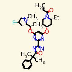 C=CC(=O)N1CC[C@H](Oc2cc(O[C@@H](C)[C@@H]3C[C@@H](F)CN3C)nc(-c3noc(C(C)(C)c4ccccc4)n3)n2)C[C@H]1CC